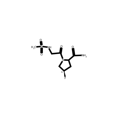 CS(=O)(=O)NCC(=O)N1C[C@H](F)CC1C(N)=O